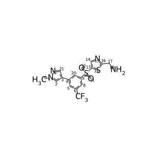 Cn1cc(-c2cc(C(F)(F)F)cc(S(=O)(=O)c3cnc(CN)s3)c2)cn1